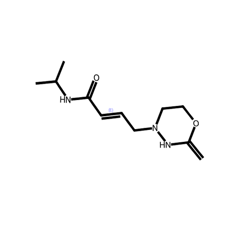 C=C1NN(C/C=C/C(=O)NC(C)C)CCO1